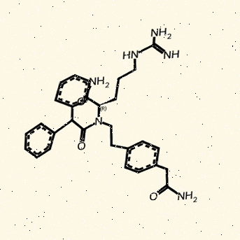 N=C(N)NCCC[C@H](C(N)=O)N(CCc1ccc(CC(N)=O)cc1)C(=O)C(c1ccccc1)c1ccccc1